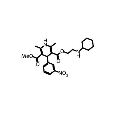 COC(=O)C1=C(C)NC(C)=C(C(=O)OCCNC2CCCCC2)C1c1cccc([N+](=O)[O-])c1